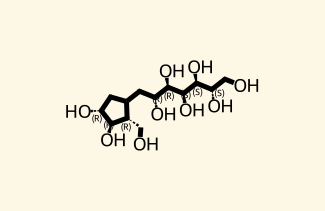 OC[C@H](O)[C@H](O)[C@@H](O)[C@H](O)[C@H](O)CC1C[C@@H](O)[C@H](O)[C@H]1CO